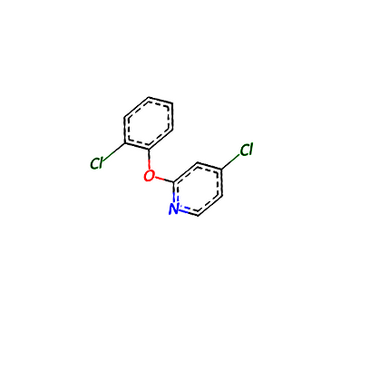 Clc1ccnc(Oc2ccccc2Cl)c1